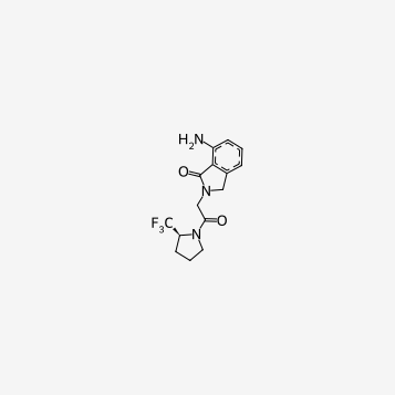 Nc1cccc2c1C(=O)N(CC(=O)N1CCC[C@H]1C(F)(F)F)C2